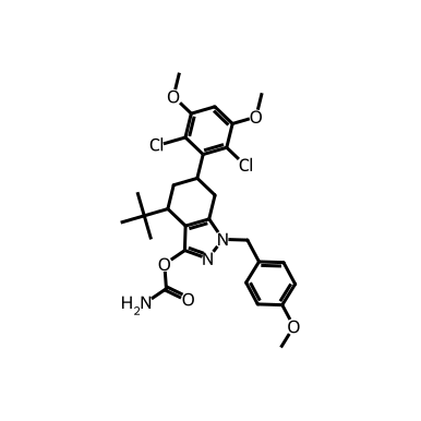 COc1ccc(Cn2nc(OC(N)=O)c3c2CC(c2c(Cl)c(OC)cc(OC)c2Cl)CC3C(C)(C)C)cc1